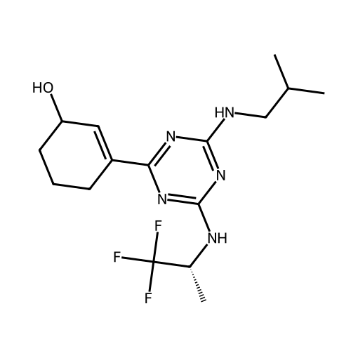 CC(C)CNc1nc(N[C@H](C)C(F)(F)F)nc(C2=CC(O)CCC2)n1